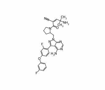 CC(C)(N)/C=C(/C#N)C(=O)N1CCCC1Cn1nc(-c2ccc(Oc3cccc(F)c3)cc2F)c2c(N)ncnc21